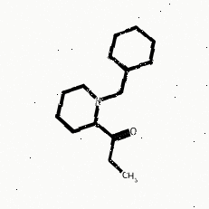 CCC(=O)C1CCCCN1CC1CCCCC1